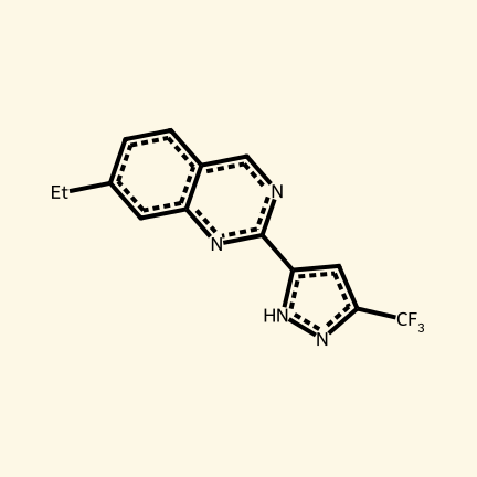 CCc1ccc2cnc(-c3cc(C(F)(F)F)n[nH]3)nc2c1